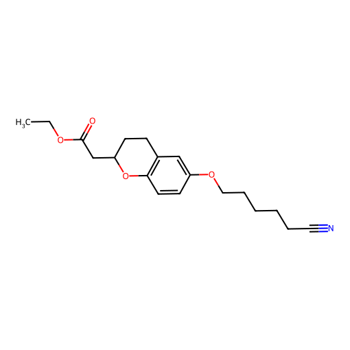 CCOC(=O)CC1CCc2cc(OCCCCCC#N)ccc2O1